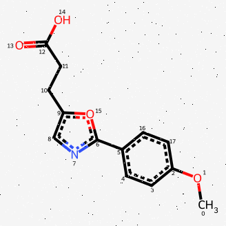 COc1ccc(-c2ncc(CCC(=O)O)o2)cc1